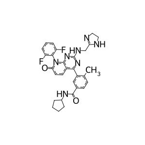 Cc1ccc(C(=O)NC2CCCC2)cc1-c1nc(NCC2=NCCN2)nc2c1ccc(=O)n2-c1c(F)cccc1F